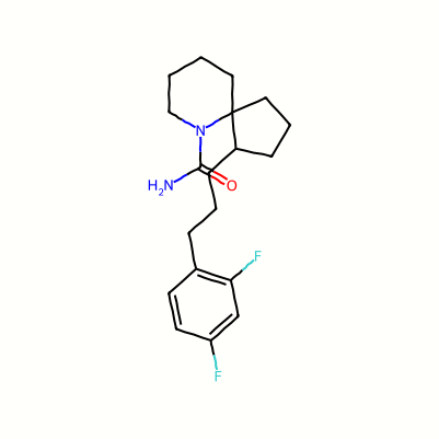 NC(=O)N1CCCCC12CCCC2CCCc1ccc(F)cc1F